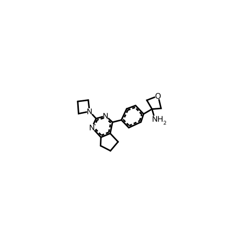 NC1(c2ccc(-c3nc(N4CCC4)nc4c3CCC4)cc2)COC1